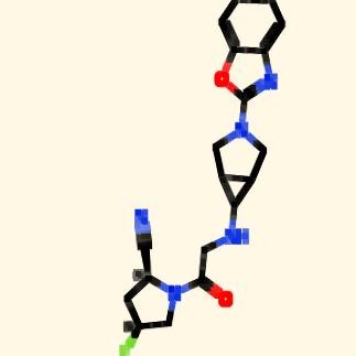 N#C[C@@H]1C[C@H](F)CN1C(=O)CNC1C2CN(c3nc4ccccc4o3)CC21